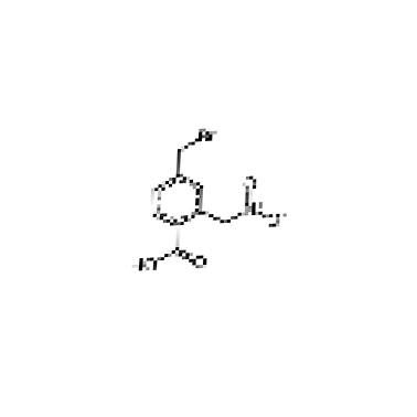 O=C(O)c1ccc(CBr)cc1C[N+](=O)[O-]